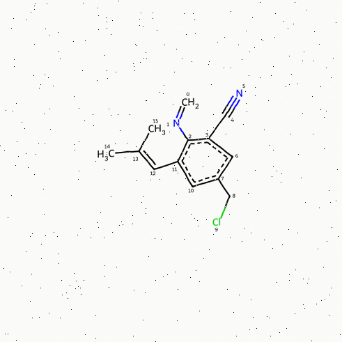 C=Nc1c(C#N)cc(CCl)cc1C=C(C)C